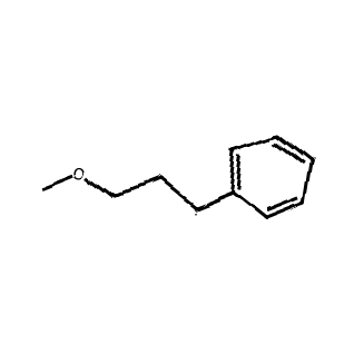 COCC[CH]c1ccccc1